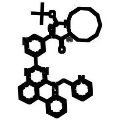 CC(C)(C)OC(=O)N1CCCCCCCC[C@H]1C(=O)Nc1cncc(-c2nc(NCc3ccccn3)c3c(-c4ccccc4)cccc3n2)c1